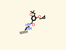 CN/C=C\C(=N)NC(=O)c1cc(OCC2CC2)c2c(c1)OC(C)(C)C2